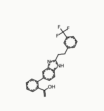 C=C(O)c1ccccc1-c1ccc2[nH]c(CCc3cccc(C(F)(F)F)c3)nc2c1